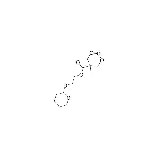 CC1(C(=O)OCCOC2CCCCO2)COOOC1